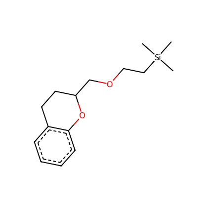 C[Si](C)(C)CCOCC1CCc2ccccc2O1